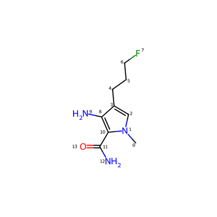 Cn1cc(CCCF)c(N)c1C(N)=O